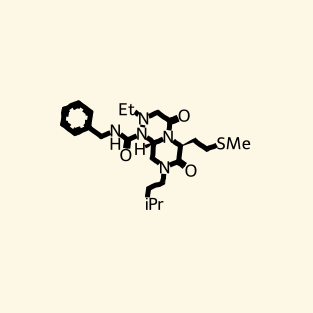 CCN1CC(=O)N2[C@@H](CCSC)C(=O)N(CCC(C)C)C[C@@H]2N1C(=O)NCc1ccccc1